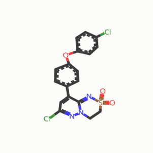 O=S1(=O)CCN2N=C(Cl)C=C(c3ccc(Oc4ccc(Cl)cc4)cc3)C2=N1